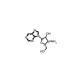 N[C@@H]1C(O)[C@H](n2cnc3cncnc32)O[C@@H]1CO